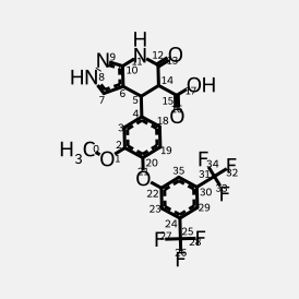 COc1cc(C2c3c[nH]nc3NC(=O)C2C(=O)O)ccc1Oc1cc(C(F)(F)F)cc(C(F)(F)F)c1